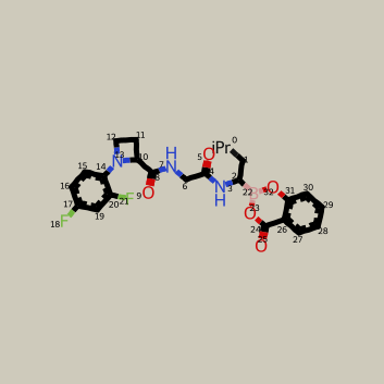 CC(C)CC(NC(=O)CNC(=O)C1CCN1c1ccc(F)cc1F)B1OC(=O)c2ccccc2O1